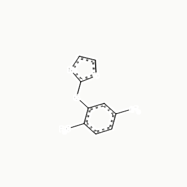 FC(F)(F)c1ccc(C(F)(F)F)c(Oc2n[c]co2)c1